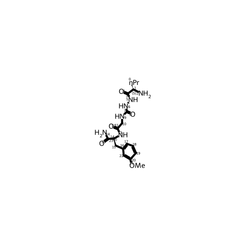 CCC[C@H](N)C(=O)NNC(=O)NCC(=O)N[C@@H](Cc1cccc(OC)c1)C(N)=O